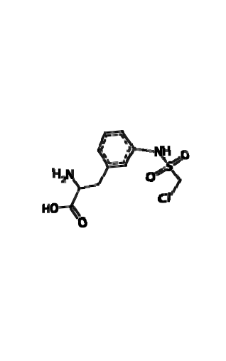 NC(Cc1cccc(NS(=O)(=O)CCl)c1)C(=O)O